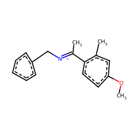 COc1ccc(/C(C)=N/Cc2ccccc2)c(C)c1